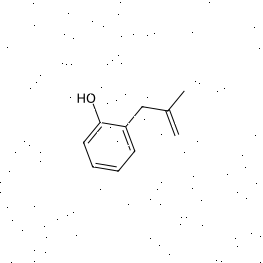 C=C(C)Cc1ccccc1O